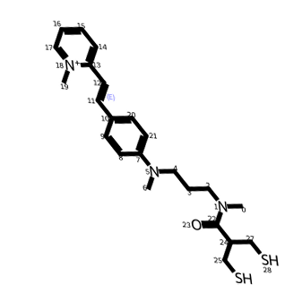 CN(CCCN(C)c1ccc(/C=C/c2cccc[n+]2C)cc1)C(=O)C(CS)CS